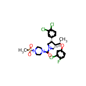 C[C@H](Oc1ccc(F)c(Cl)c1)[C@@H]1CN(C(=O)N2CCN(S(C)(=O)=O)CC2)C[C@@H]1c1ccc(Cl)c(Cl)c1